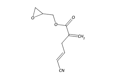 C=C(CC=CC#N)C(=O)OCC1CO1